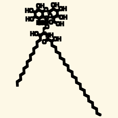 CCCCCCCCCCCCCCCCCCCCCCCCC(O)C(=O)N[C@@H](COP(=O)(O)O[C@H]1C(O)C(O)C(O)[C@@H](O)C1O[C@H]1O[C@H](CO)[C@@H](O)C(O)C1O)[C@H](O)CCCCCCCCCCCCCCC